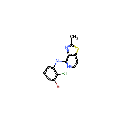 Cc1nc2c(Nc3cccc(Br)c3Cl)nccc2s1